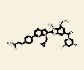 COc1cc(C(=O)N2C[C@H](N)C[C@@H](F)C2)cc2nc(-c3cc4ccc(-c5ccc(/C=C/C(N)=O)cc5)nc4n3CC3CC3)n(C)c12